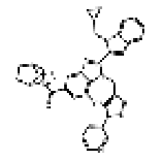 COc1cc(C(=O)N2CC3CCC2[C@@H]3N)cc2nc(-c3cc4ccccc4n3CC3CC3)n(Cc3cnn(-c4cccnc4)c3)c12